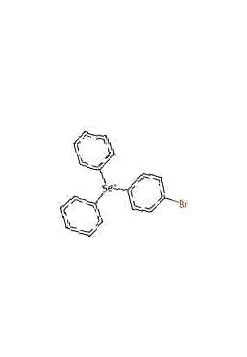 Brc1ccc([Se+](c2ccccc2)c2ccccc2)cc1